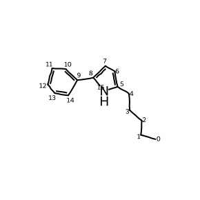 CCCCCc1ccc(-c2ccccc2)[nH]1